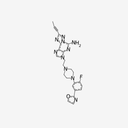 CC#Cc1nc2c3ncn(CCN4CCN(c5cc(-c6ncco6)ccc5F)CC4)c3nc(N)n2n1